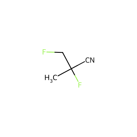 CC(F)(C#N)CF